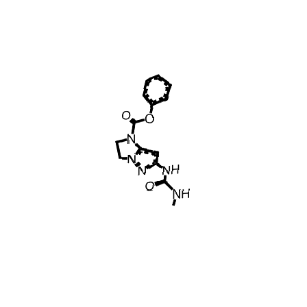 CNC(=O)Nc1cc2n(n1)CCN2C(=O)Oc1ccccc1